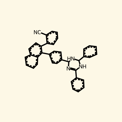 N#Cc1ccccc1-c1ccc2ccccc2c1-c1ccc(C2N=C(c3ccccc3)NC(c3ccccc3)N2)cc1